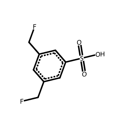 O=S(=O)(O)c1cc(CF)cc(CF)c1